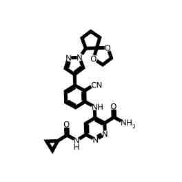 N#Cc1c(Nc2cc(NC(=O)C3CC3)nnc2C(N)=O)cccc1-c1cnn(C2CCCC23OCCO3)c1